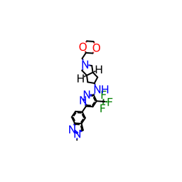 Cn1cc2cc(-c3cc(C(F)(F)F)c(NC4C[C@@H]5CN(CC6COCCO6)C[C@@H]5C4)nn3)ccc2n1